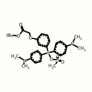 CN(C)c1ccc(S(OS(C)(=O)=O)(c2ccc(N(C)C)cc2)c2cccc(OCC(=O)OC(C)(C)C)c2)cc1